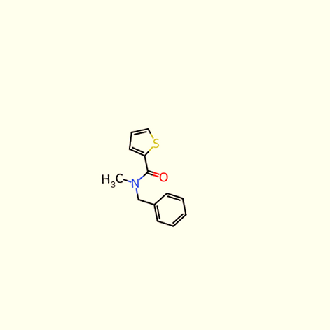 CN(Cc1ccccc1)C(=O)c1cccs1